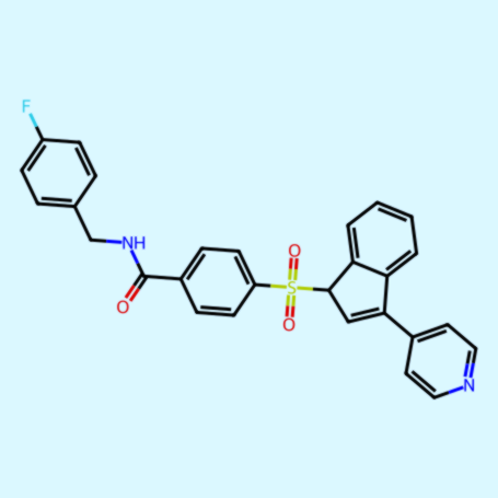 O=C(NCc1ccc(F)cc1)c1ccc(S(=O)(=O)C2C=C(c3ccncc3)c3ccccc32)cc1